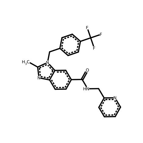 Cc1nc2ccc(C(=O)NCc3ccccn3)cc2n1Cc1ccc(C(F)(F)F)cc1